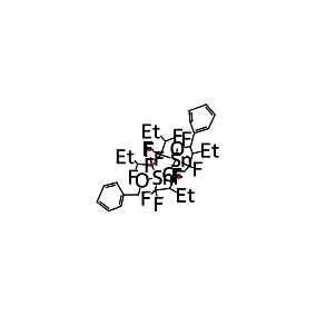 CCC(F)[C](F)(F)[Sn]([O]Cc1ccccc1)([O][Sn]([O]Cc1ccccc1)([C](F)(F)C(F)CC)[C](F)(F)C(F)CC)[C](F)(F)C(F)CC